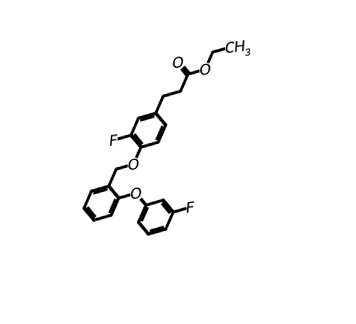 CCOC(=O)CCc1ccc(OCc2ccccc2Oc2cccc(F)c2)c(F)c1